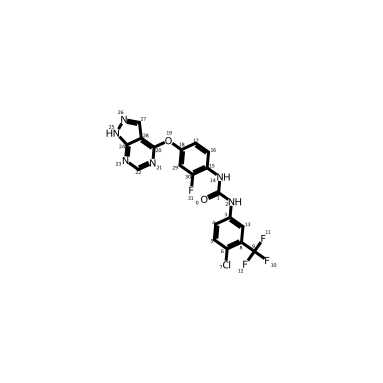 O=C(Nc1ccc(Cl)c(C(F)(F)F)c1)Nc1ccc(Oc2ncnc3[nH]ncc23)cc1F